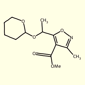 COC(=O)c1c(C)noc1C(C)OC1CCCCO1